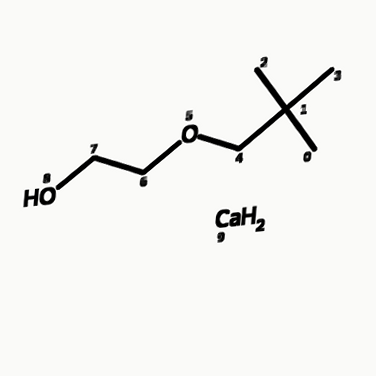 CC(C)(C)COCCO.[CaH2]